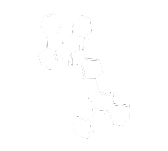 c1ccc(-c2nc(-c3ccc4c(c3)nc3n4-c4ccccc4C34c3ccccc3-c3ccccc34)nc3ccccc23)cc1